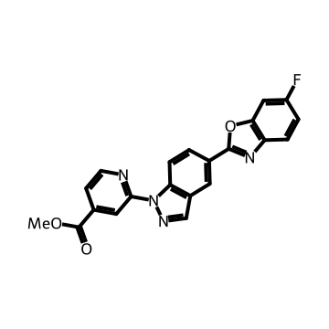 COC(=O)c1ccnc(-n2ncc3cc(-c4nc5ccc(F)cc5o4)ccc32)c1